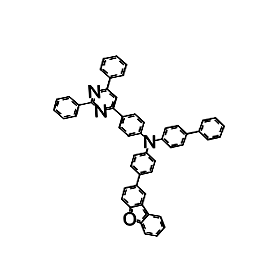 c1ccc(-c2ccc(N(c3ccc(-c4ccc5oc6ccccc6c5c4)cc3)c3ccc(-c4cc(-c5ccccc5)nc(-c5ccccc5)n4)cc3)cc2)cc1